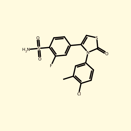 Cc1cc(-n2c(-c3ccc(S(N)(=O)=O)c(F)c3)csc2=O)ccc1Cl